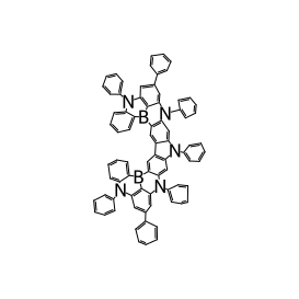 c1ccc(-c2cc3c4c(c2)N(c2ccccc2)c2cc5c(cc2B4c2ccccc2N3c2ccccc2)c2cc3c(cc2n5-c2ccccc2)N(c2ccccc2)c2cc(-c4ccccc4)cc4c2B3c2ccccc2N4c2ccccc2)cc1